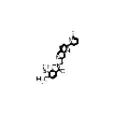 CSc1cc(C(=O)NCc2cc3nc(-c4cccc(F)n4)ccc3cn2)ccc1C